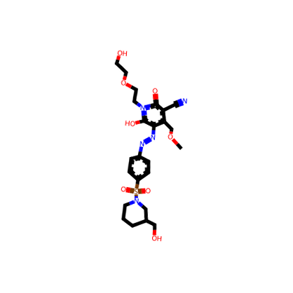 COCc1c(/N=N/c2ccc(S(=O)(=O)N3CCCC(CO)C3)cc2)c(O)n(CCOCCO)c(=O)c1C#N